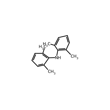 Cc1cccc(C)c1Nc1c(C)cccc1C